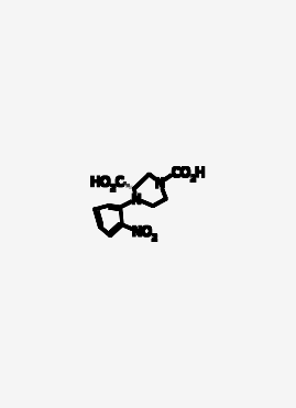 O=C(O)[C@@H]1CN(C(=O)O)CCN1c1ccccc1[N+](=O)[O-]